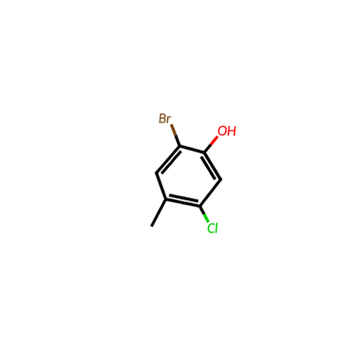 Cc1cc(Br)c(O)cc1Cl